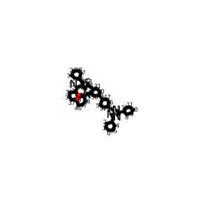 c1ccc(-c2nc(-c3ccccc3)nc(-c3ccc(-c4ccc5c6sc7c8ccccc8nc(-c8ccccc8)c7c6n(-c6ccccc6)c5c4)cc3)n2)cc1